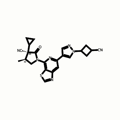 C[C@@H]1CN(c2nc(-c3cnn(C4CC(C#N)C4)c3)cc3ncsc23)C(=O)[C@]1(C#N)C1CC1